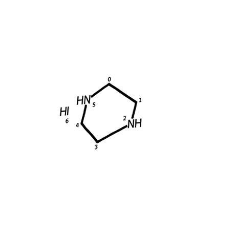 C1CNCCN1.I